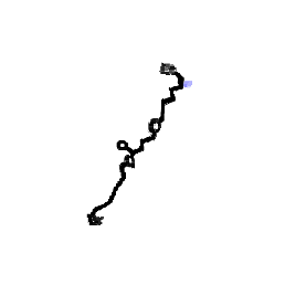 CC/C=C\CCCCOCCCC(=O)OCCCCCBr